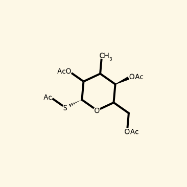 CC(=O)OCC1O[C@H](SC(C)=O)C(OC(C)=O)C(C)[C@H]1OC(C)=O